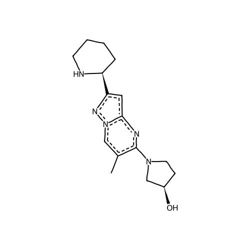 Cc1cn2nc([C@@H]3CCCCN3)cc2nc1N1CC[C@@H](O)C1